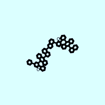 c1ccc(-c2cc(-c3c4ccccc4c(-c4cccc5c(-c6ccc7c(-c8cccc9c8oc8cccc(-c%10c%11ccccc%11c(-c%11cccc%12ccccc%11%12)c%11ccccc%10%11)c89)cccc7c6)cccc45)c4ccccc34)c3c(c2)oc2ccccc23)cc1